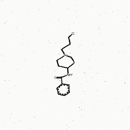 O=C(NC1CCN(CCCCl)CC1)c1ccccc1